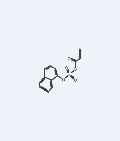 C=CC(=O)OS(=O)(=O)Oc1cccc2ccccc12